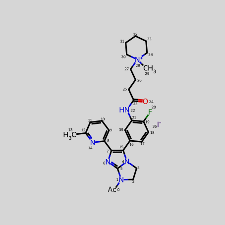 CC(=O)N1CCn2c1nc(-c1cccc(C)n1)c2-c1ccc(F)c(NC(=O)CCC[N+]2(C)CCCCC2)c1.[I-]